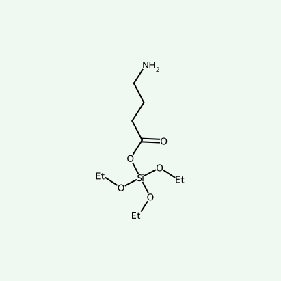 CCO[Si](OCC)(OCC)OC(=O)CCCN